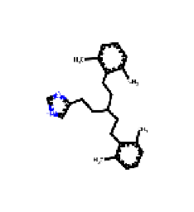 Cc1cccc(C)c1CCC(CCc1c[nH]cn1)CCc1c(C)cccc1C